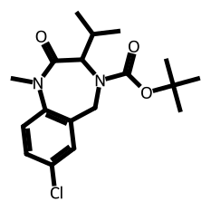 CC(C)C1C(=O)N(C)c2ccc(Cl)cc2CN1C(=O)OC(C)(C)C